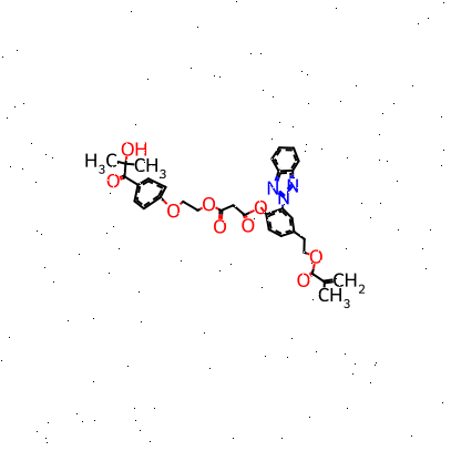 C=C(C)C(=O)OCCc1ccc(OC(=O)CC(=O)OCCOc2ccc(C(=O)C(C)(C)O)cc2)c(-n2nc3ccccc3n2)c1